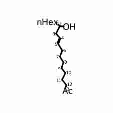 CCCCCCC(O)C/C=C/CCCCCCCC(C)=O